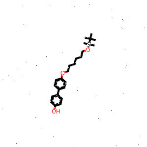 CC(C)(C)[Si](C)(C)OCCCCCCOc1ccc(-c2ccc(O)cc2)cc1